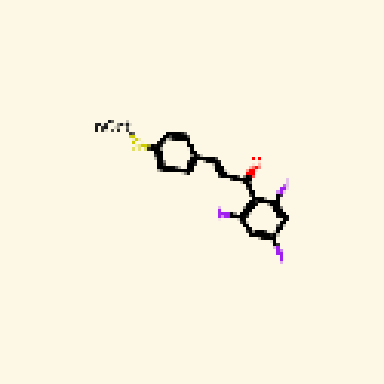 CCCCCCCCSc1ccc(C=CC(=O)c2c(I)cc(I)cc2I)cc1